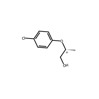 C[C@H](CO)Oc1ccc(Cl)cc1